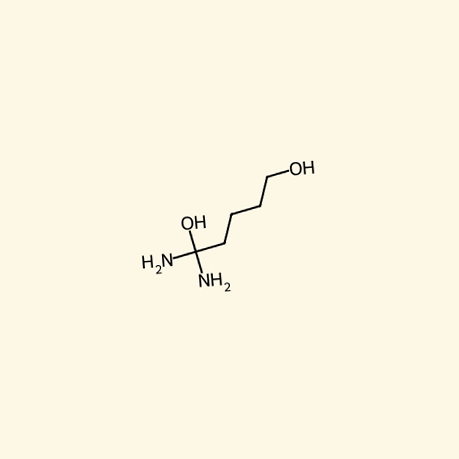 NC(N)(O)CCCCO